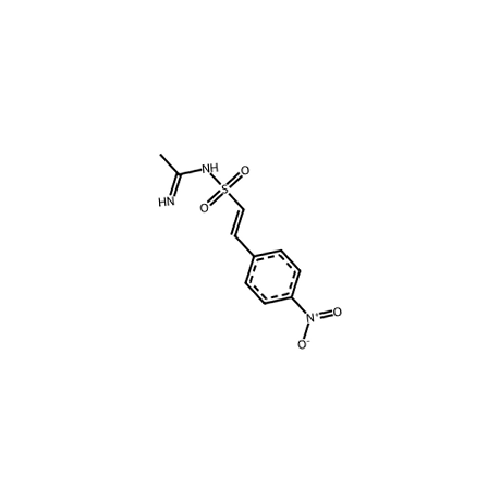 CC(=N)NS(=O)(=O)C=Cc1ccc([N+](=O)[O-])cc1